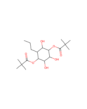 CCCC1C(O)C(OC(=O)C(C)(C)C)C(O)C(O)C1OC(=O)C(C)(C)C